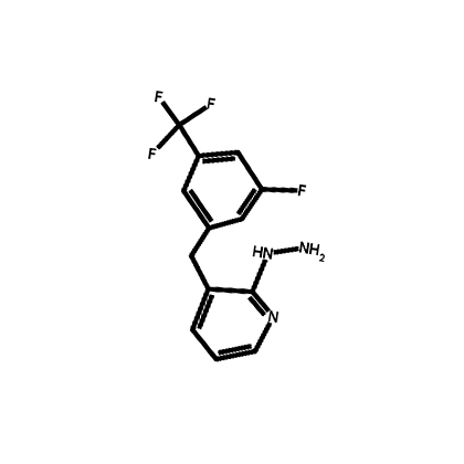 NNc1ncccc1Cc1cc(F)cc(C(F)(F)F)c1